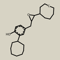 Oc1ccc(CC2OC2C2CCCCCCC2)cc1C1CCCCCCC1